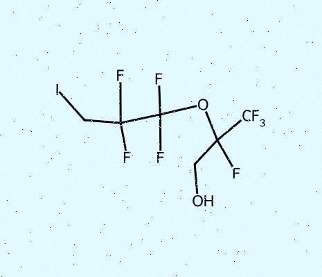 OCC(F)(OC(F)(F)C(F)(F)CI)C(F)(F)F